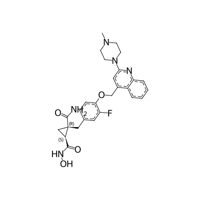 CN1CCN(c2cc(COc3ccc(C[C@]4(C(N)=O)C[C@@H]4C(=O)NO)cc3F)c3ccccc3n2)CC1